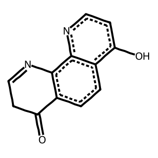 O=C1CC=Nc2c1ccc1c(O)ccnc21